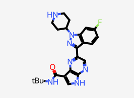 CC(C)(C)NC(=O)c1c[nH]c2ncc(-c3nn(C4CCNCC4)c4cc(F)ccc34)nc12